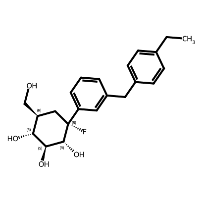 CCc1ccc(Cc2cccc([C@]3(F)C[C@H](CO)[C@@H](O)[C@H](O)[C@H]3O)c2)cc1